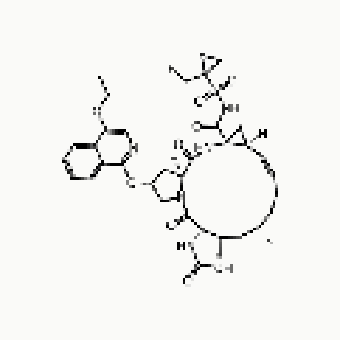 CCOc1cnc(O[C@@H]2C[C@H]3C(=O)N[C@]4(C(=O)NS(=O)(=O)C5(CF)CC5)C[C@H]4C=CCC[C@H](C)C[C@@H](C)[C@H](NC(=O)O)C(=O)N3C2)c2ccccc12